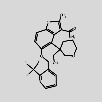 Cc1oc2ccc(OCc3cccnc3C(F)(F)F)c(C3(CO)CCCOC3)c2c1C(N)=O